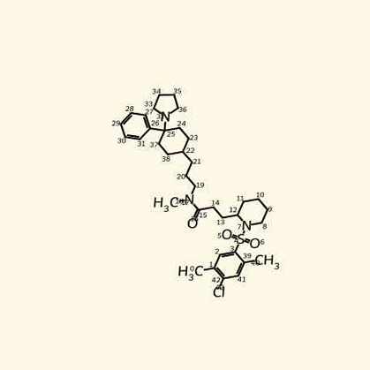 Cc1cc(S(=O)(=O)N2CCCCC2CCC(=O)N(C)CCCC2CCC(c3ccccc3)(N3CCCC3)CC2)c(C)cc1Cl